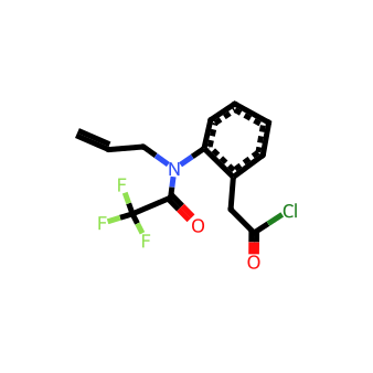 C=CCN(C(=O)C(F)(F)F)c1ccccc1CC(=O)Cl